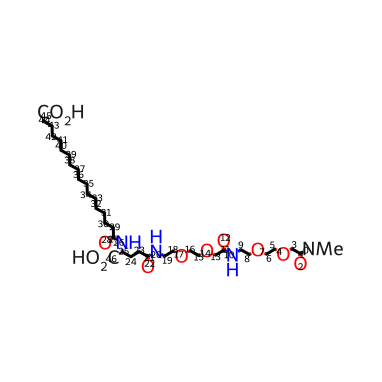 CNC(=O)COCCOCCNC(=O)COCCOCCNC(=O)CC[C@H](NC(=O)CCCCCCCCCCCCCCCCC(=O)O)C(=O)O